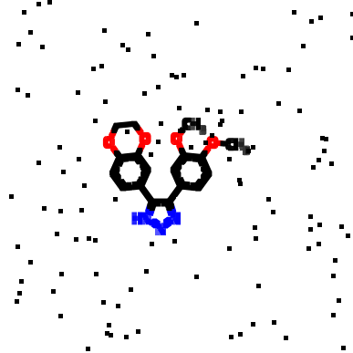 COc1ccc(-c2nn[nH]c2-c2ccc3c(c2)OCCO3)cc1OC